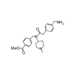 COC(=O)c1ccc(CN(C(=O)Cc2ccc(CN)cc2)C2CCN(C)CC2)cc1